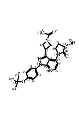 O=C(O)N1CC(c2nn(-c3ccc(OC(F)(F)F)cc3)c3nccc(N4CC[C@@H](O)C4=O)c23)C1